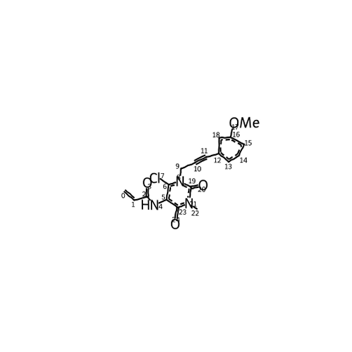 C=CC(=O)Nc1c(Cl)n(CC#Cc2cccc(OC)c2)c(=O)n(C)c1=O